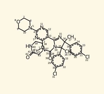 CCOc1nc(N2CCOCC2)ncc1C1=NC(C)(c2ccc(Cl)cc2)C(C)(c2ccc(Cl)cc2)N1C(=O)N1CCNC(=O)C1